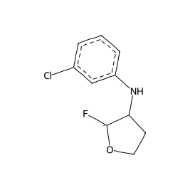 F[C]1OCCC1Nc1cccc(Cl)c1